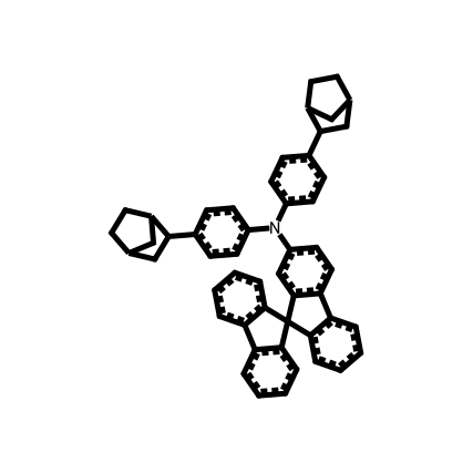 c1ccc2c(c1)-c1ccccc1C21c2ccccc2-c2ccc(N(c3ccc(C4CC5CCC4C5)cc3)c3ccc(C4CC5CCC4C5)cc3)cc21